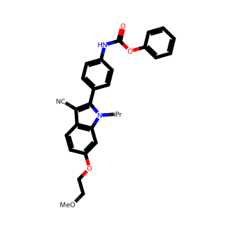 COCCOc1ccc2c(C#N)c(-c3ccc(NC(=O)Oc4ccccc4)cc3)n(C(C)C)c2c1